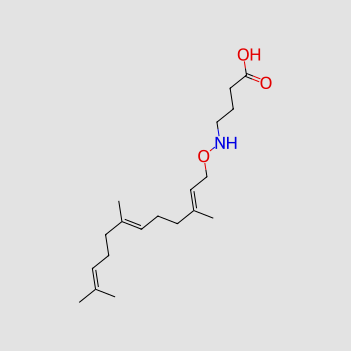 CC(C)=CCCC(C)=CCCC(C)=CCONCCCC(=O)O